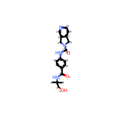 CC(C)(CO)NC(=O)c1ccc(NC(=O)N2Cc3ccncc3C2)cc1